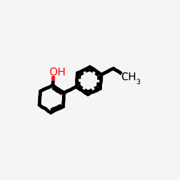 CCc1ccc(C2=C(O)CCC=C2)cc1